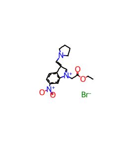 CCOC(=O)C[N+]1=C/C(=C\N2CCCC2)c2ccc([N+](=O)[O-])cc21.[Br-]